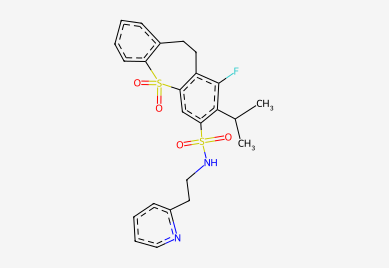 CC(C)c1c(S(=O)(=O)NCCc2ccccn2)cc2c(c1F)CCc1ccccc1S2(=O)=O